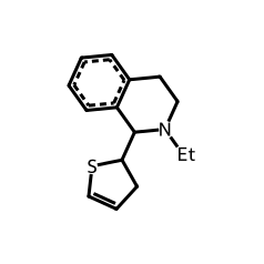 CCN1CCc2ccccc2C1C1CC=CS1